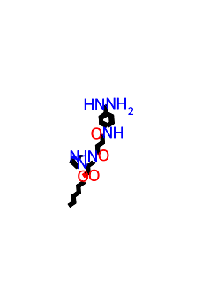 CCCCCCOC(=O)C(CNC(=O)CCC(=O)Nc1ccc(C(=N)N)cc1)n1ccnc1